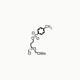 COCO[C@H](CCl)CCOS(=O)(=O)c1ccc(C)cc1